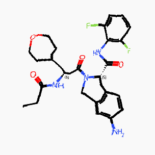 C[CH]C(=O)N[C@H](C(=O)N1Cc2cc(N)ccc2[C@H]1C(=O)Nc1c(F)cccc1F)C1CCOCC1